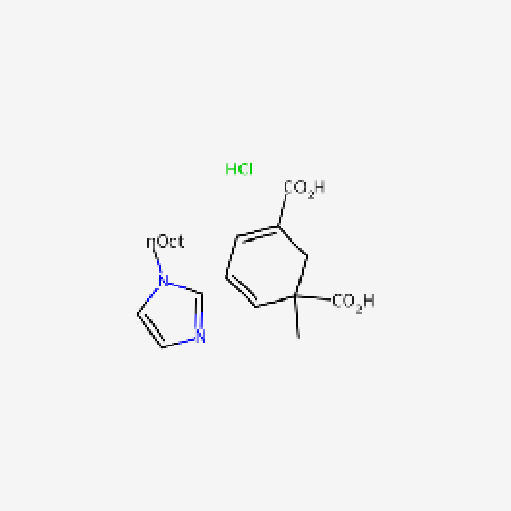 CC1(C(=O)O)C=CC=C(C(=O)O)C1.CCCCCCCCn1ccnc1.Cl